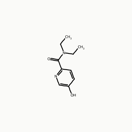 CCN(CC)C(=O)c1ccc(O)cn1